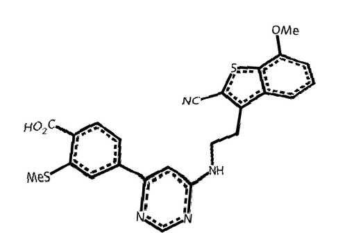 COc1cccc2c(CCNc3cc(-c4ccc(C(=O)O)c(SC)c4)ncn3)c(C#N)sc12